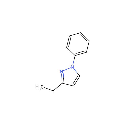 C[CH]c1ccn(-c2ccccc2)n1